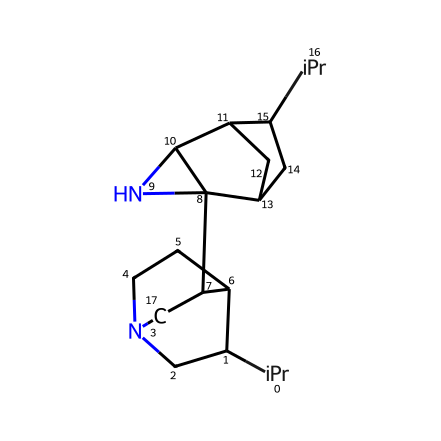 CC(C)C1CN2CCC1C(C13NC1C1CC3CC1C(C)C)C2